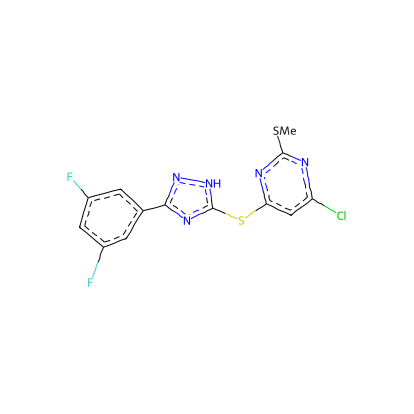 CSc1nc(Cl)cc(Sc2nc(-c3cc(F)cc(F)c3)n[nH]2)n1